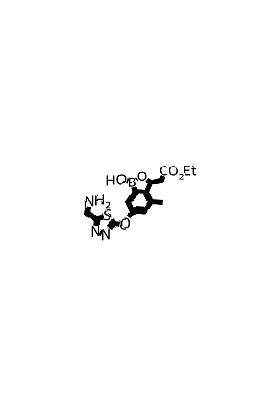 CCOC(=O)CC1OB(O)c2cc(Oc3nnc(CN)s3)cc(C)c21